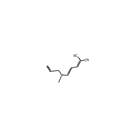 C=CCN(C)C=CC=C(C#N)C#N